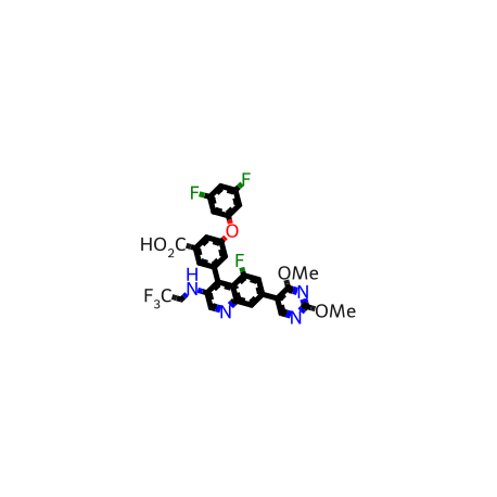 COc1ncc(-c2cc(F)c3c(-c4cc(Oc5cc(F)cc(F)c5)cc(C(=O)O)c4)c(NCC(F)(F)F)cnc3c2)c(OC)n1